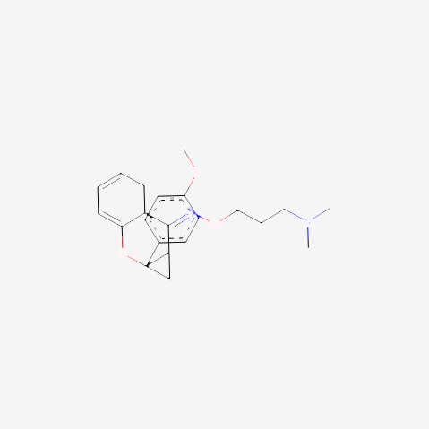 COc1ccc(C23CC2C(=NOCCCN(C)C)C2CC=CC=C2O3)cc1